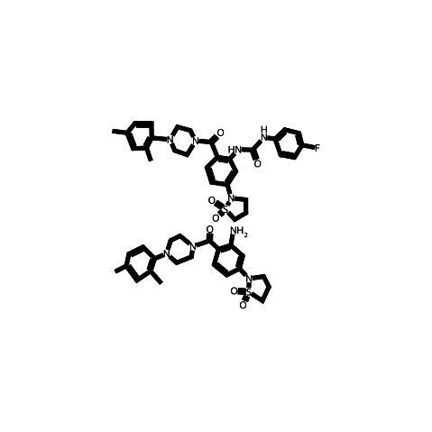 Cc1ccc(N2CCN(C(=O)c3ccc(N4CCCS4(=O)=O)cc3N)CC2)c(C)c1.Cc1ccc(N2CCN(C(=O)c3ccc(N4CCCS4(=O)=O)cc3NC(=O)Nc3ccc(F)cc3)CC2)c(C)c1